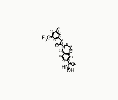 Cc1cc(CC(=O)N2CCOc3cc(C(=O)NO)ccc3C2)cc(C(F)(F)F)c1